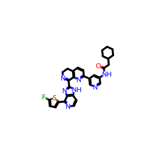 O=C(CC1CCCCC1)Nc1cncc(-c2ccc3c(n2)C(c2nc4c(-c5ccc(F)s5)nccc4[nH]2)=NCC3)c1